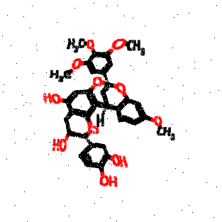 COc1ccc2c(c1)O[C@@]1(c3cc(OC)c(OC)c(OC)c3)C[C@@H]2c2c(cc(O)c3c2O[C@H](c2ccc(O)c(O)c2)[C@@H](O)C3)O1